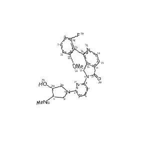 CNC1CN(c2cccc(N3Cc4c(ccnc4-c4c(F)cccc4OC)C3=O)n2)CC1O